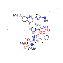 C=C[C@@H]1C[C@]1(NC(=O)[C@@H]1C[C@@H](Oc2cc(-c3csc(NC(C)C)n3)nc3cc(OC)ccc23)CN1C(=O)[C@@H](NC(=O)OC1CCCC1)C(C)(C)C)C(=O)NP(=O)(OC)OC